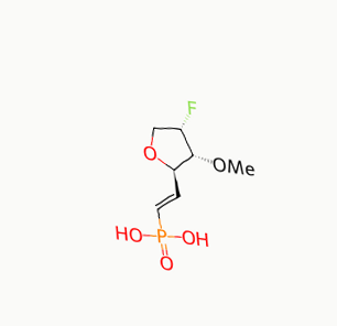 CO[C@H]1[C@@H](F)CO[C@@H]1/C=C/P(=O)(O)O